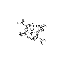 CC(C)CCCC(C)CCC1(CCC(C)CCCC(C)C)OC2=C(SC(c3c(F)c(F)c(C(C)(C)C)c4nsnc34)C2)c2sc(-c3c(F)c(F)c(-c4cc5c(s4)C4=C(CC(C(C)(C)C)S4)OC5(CCC(C)CCCC(C)C)CCC(C)CCCC(C)C)c4nsnc34)cc21